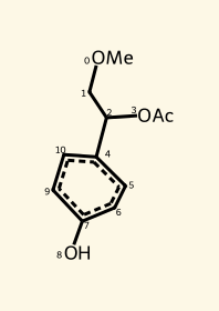 COCC(OC(C)=O)c1ccc(O)cc1